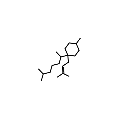 CC(C)=CCC1(C(C)CCCC(C)C)CCC(C)CC1